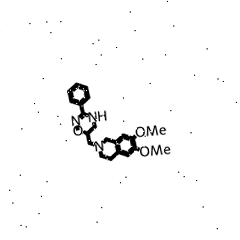 COc1cc2c(cc1OC)CN(CC1CNC(c3ccccc3)=NO1)CC2